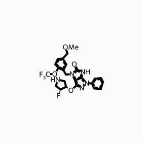 COCc1ccc(OC(F)(F)F)c(Cn2c(=O)[nH]c3c2c(O[C@H]2CNC[C@H]2F)nn3-c2ccccc2)c1